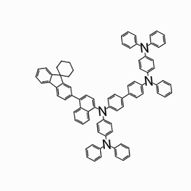 c1ccc(N(c2ccccc2)c2ccc(N(c3ccccc3)c3ccc(-c4ccc(N(c5ccc(N(c6ccccc6)c6ccccc6)cc5)c5ccc(-c6ccc7c(c6)C6(CCCCC6)c6ccccc6-7)c6ccccc56)cc4)cc3)cc2)cc1